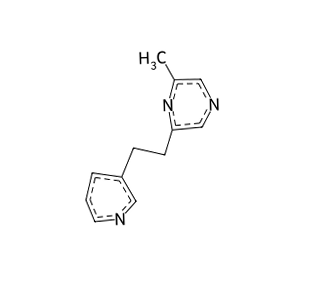 Cc1cncc(CCc2cccnc2)n1